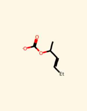 CCC=CC(C)OC([O])=O